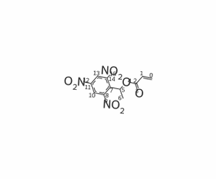 C=CC(=O)OC(C)c1c([N+](=O)[O-])cc([N+](=O)[O-])cc1[N+](=O)[O-]